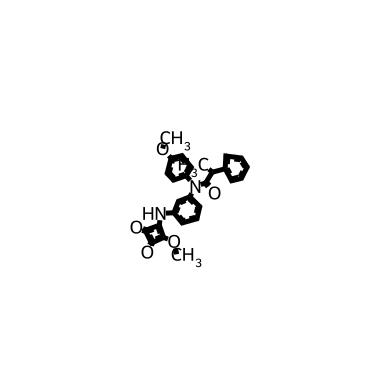 COc1ccc(N(C(=O)C(C)c2ccccc2)c2cccc(Nc3c(OC)c(=O)c3=O)c2)cc1